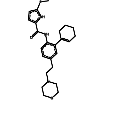 CSc1ccc(C(=O)Nc2ccc(CCN3CCOCC3)cc2C2=CCCCC2)[nH]1